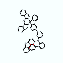 c1ccc(-c2ccccc2N(c2cccc(-c3ccc4c(c3)-c3ccccc3C43c4ccc5ccccc5c4Oc4c3ccc3ccccc43)c2)c2ccc3sc4ccccc4c3c2)cc1